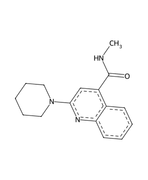 CNC(=O)c1cc(N2CCCCC2)nc2ccccc12